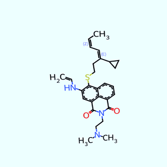 C=CNc1cc2c3c(cccc3c1SCC/C(=C\C=C/C)C1CC1)C(=O)N(CCN(C)C)C2=O